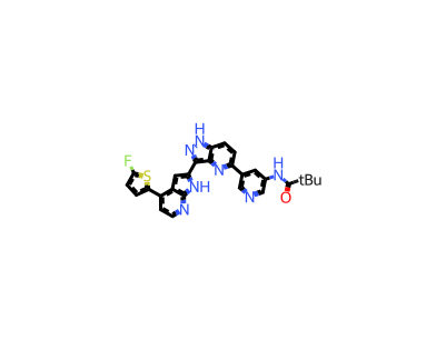 CC(C)(C)C(=O)Nc1cncc(-c2ccc3[nH]nc(-c4cc5c(-c6ccc(F)s6)ccnc5[nH]4)c3n2)c1